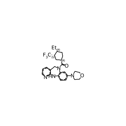 CC[C@@H]1CC[C@@H](C(=O)N2Cc3cccnc3Nc3ccc(N4CCOCC4)cc32)C[C@@H]1C(F)(F)F